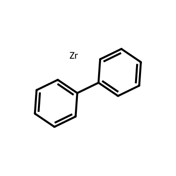 [Zr].c1ccc(-c2ccccc2)cc1